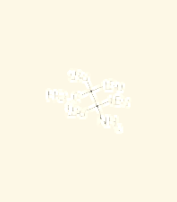 CC(C)(C)C(N)(C(C)(C)C)C(C(=O)O)(C(C)(C)C)C(C)(C)C